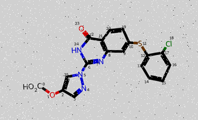 O=C(O)Oc1cnn(-c2nc3cc(Sc4ccccc4Cl)ccc3c(=O)[nH]2)c1